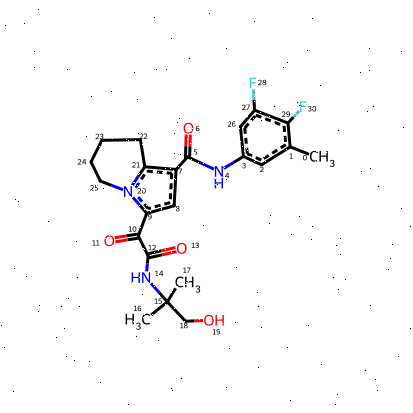 Cc1cc(NC(=O)c2cc(C(=O)C(=O)NC(C)(C)CO)n3c2CCCC3)cc(F)c1F